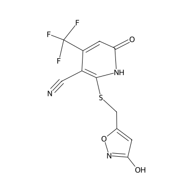 N#Cc1c(C(F)(F)F)cc(=O)[nH]c1SCc1cc(O)no1